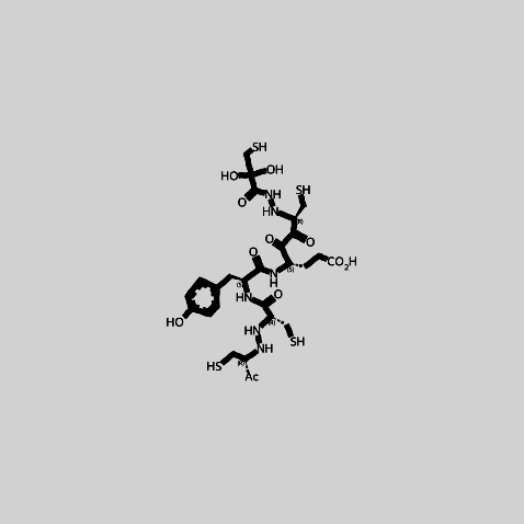 CC(=O)[C@H](CS)NN[C@@H](CS)C(=O)N[C@@H](Cc1ccc(O)cc1)C(=O)N[C@@H](CCC(=O)O)C(=O)C(=O)[C@H](CS)NNC(=O)C(O)(O)CS